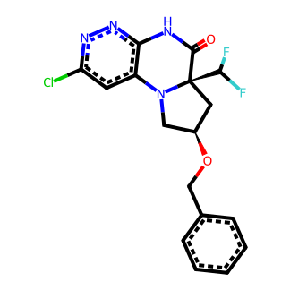 O=C1Nc2nnc(Cl)cc2N2C[C@H](OCc3ccccc3)C[C@@]12C(F)F